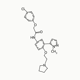 Cn1nccc1-c1cc(NC(=O)COc2ccc(Cl)cc2)ccc1OCCN1CCCC1